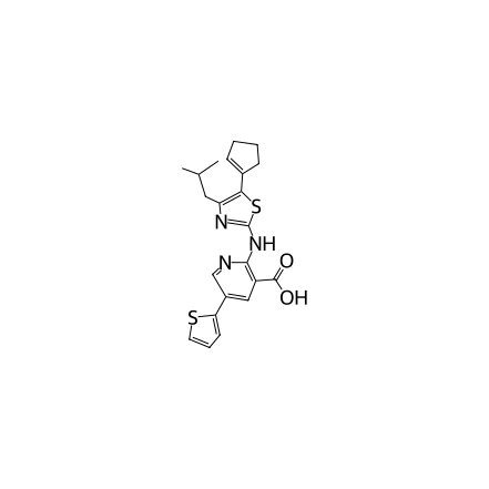 CC(C)Cc1nc(Nc2ncc(-c3cccs3)cc2C(=O)O)sc1C1=CCCC1